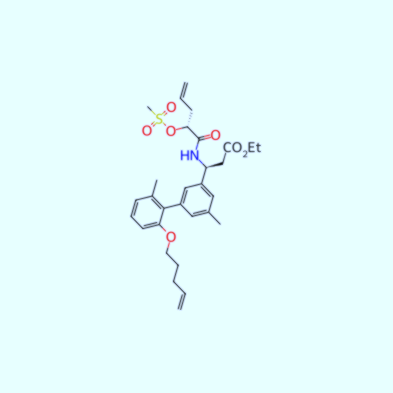 C=CCCCOc1cccc(C)c1-c1cc(C)cc([C@H](CC(=O)OCC)NC(=O)[C@@H](CC=C)OS(C)(=O)=O)c1